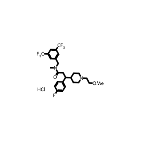 COCCN1CCC(C(CC(=O)N(C)Cc2cc(C(F)(F)F)cc(C(F)(F)F)c2)c2ccc(F)cc2)CC1.Cl